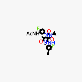 C#Cc1ccc(Nc2c3c(=O)n(C4CC4)c(=O)n(-c4ccc(F)c(NC(C)=O)c4)c3c(C)c(=O)n2C)c(F)c1